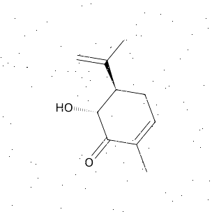 C=C(C)[C@H]1CC=C(C)C(=O)[C@@H]1O